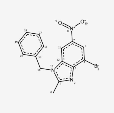 Cc1nc2c(Br)cc([N+](=O)[O-])cc2n1Cc1ccccc1